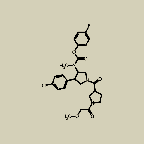 COCC(=O)N1CCC(C(=O)N2CC(c3ccc(Cl)cc3)C(N(C)C(=O)Oc3ccc(F)cc3)C2)C1